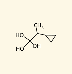 CC(C1CC1)C(O)(O)O